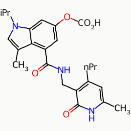 CCCc1cc(C)[nH]c(=O)c1CNC(=O)c1cc(OC(=O)O)cc2c1c(C)cn2C(C)C